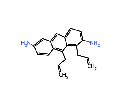 C=CCc1c(N)ccc2cc3cc(N)ccc3c(CC=C)c12